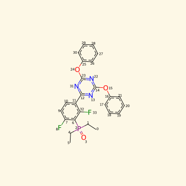 CCP(=O)(CC)c1c(F)ccc(-c2nc(Oc3ccccc3)nc(Oc3ccccc3)n2)c1F